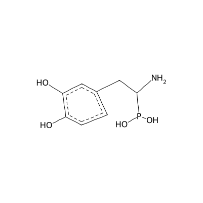 NC(Cc1ccc(O)c(O)c1)P(O)O